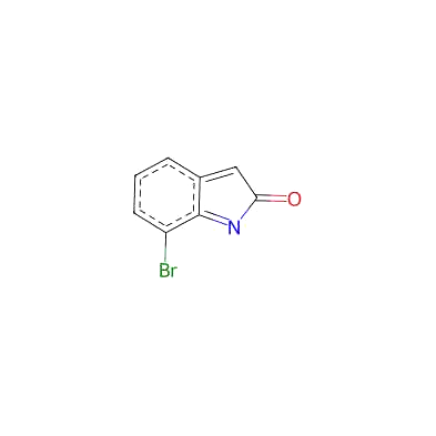 O=C1C=c2cccc(Br)c2=N1